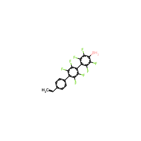 Bc1c(F)c(F)c(-c2c(F)c(F)c(-c3ccc(C=C)cc3)c(F)c2F)c(F)c1F